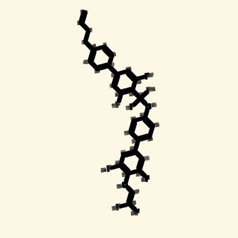 C=CCCc1ccc(-c2cc(F)c(C(F)(F)Oc3ccc(-c4cc(F)c(OC=C(F)F)c(F)c4)cc3)c(F)c2)cc1